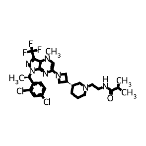 CC(C)C(=O)NCCN1CCC[C@H](C2CN(C3=CN(C)C4C(=N3)N([C@H](C)c3ccc(Cl)cc3Cl)N=C4C(F)(F)F)C2)C1